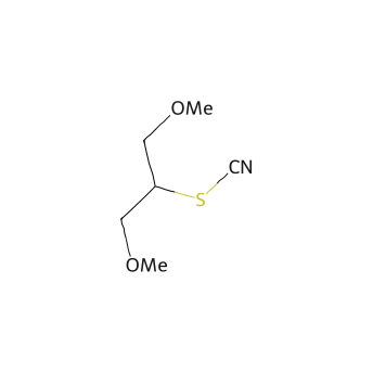 COCC(COC)SC#N